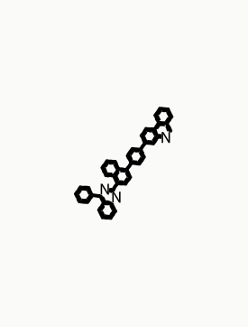 c1ccc(-c2nc(-c3ccc(-c4ccc(-c5ccc6c(c5)ncc5ccccc56)cc4)c4ccccc34)nc3ccccc23)cc1